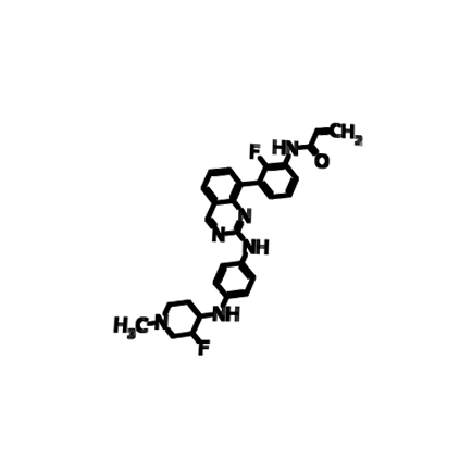 C=CC(=O)Nc1cccc(-c2cccc3cnc(Nc4ccc(NC5CCN(C)CC5F)cc4)nc23)c1F